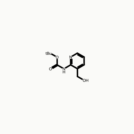 CC(C)(C)OC(=O)Nc1ncccc1CO